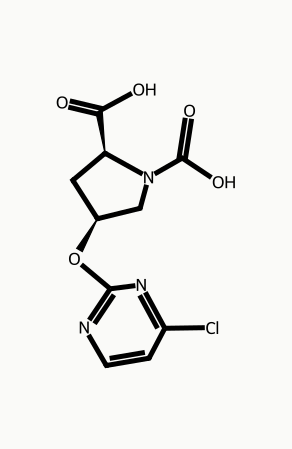 O=C(O)[C@@H]1C[C@H](Oc2nccc(Cl)n2)CN1C(=O)O